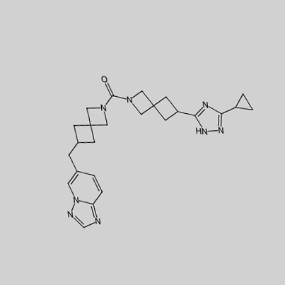 O=C(N1CC2(CC(Cc3ccc4ncnn4c3)C2)C1)N1CC2(CC(c3nc(C4CC4)n[nH]3)C2)C1